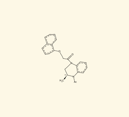 CC(=O)N1c2ccccc2N(C(=O)COc2cccc3ccccc23)C[C@@H]1C